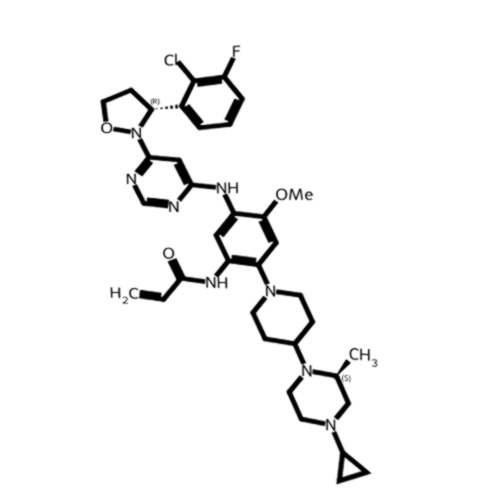 C=CC(=O)Nc1cc(Nc2cc(N3OCC[C@@H]3c3cccc(F)c3Cl)ncn2)c(OC)cc1N1CCC(N2CCN(C3CC3)C[C@@H]2C)CC1